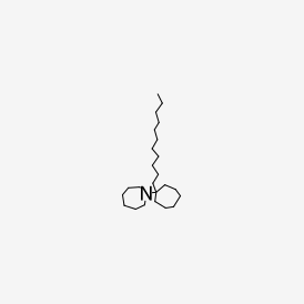 CCCCCCCCCCCC1(N2CCCCCC2)CCCCCC1